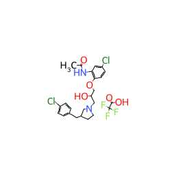 CC(=O)Nc1cc(Cl)ccc1OCC(O)CN1CCC(Cc2ccc(Cl)cc2)C1.O=C(O)C(F)(F)F